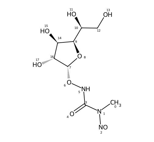 CN(N=O)C(=O)NO[C@H]1O[C@H]([C@@H](O)CO)[C@H](O)[C@H]1O